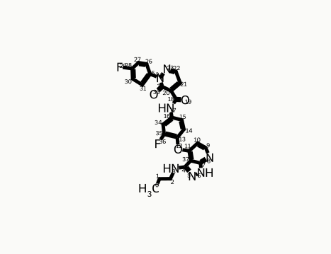 CCCNc1n[nH]c2nccc(Oc3ccc(NC(=O)c4ccnn(-c5ccc(F)cc5)c4=O)cc3F)c12